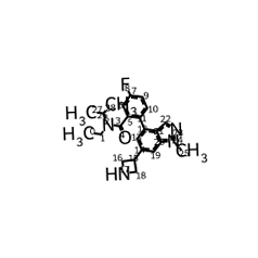 CCN(C(=O)c1cc(F)ccc1-c1cc(C2CNC2)cc2c1cnn2C)C(C)C